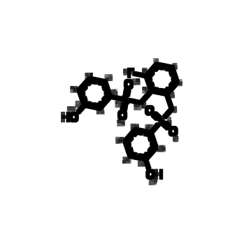 O=S(=O)(Cc1cccc(F)c1CS(=O)(=O)c1cccc(O)c1)c1cccc(O)c1